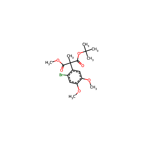 COC(=O)C(C)(C(=O)OC(C)(C)C)c1cc(OC)c(OC)cc1Br